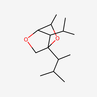 CC(C)C(C)C12COC(C(C)O1)C2C(C)C